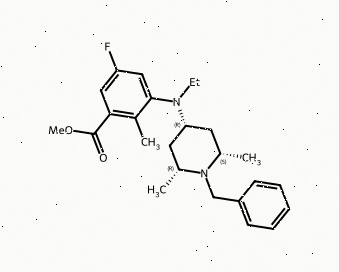 CCN(c1cc(F)cc(C(=O)OC)c1C)[C@H]1C[C@@H](C)N(Cc2ccccc2)[C@@H](C)C1